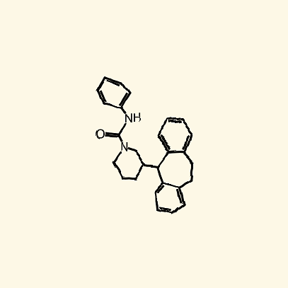 O=C(Nc1ccccc1)N1CCCC(C2c3ccccc3CCc3ccccc32)C1